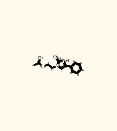 CC(=O)OCCn1cc(-c2ccccc2)[nH]c1=O